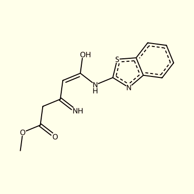 COC(=O)CC(=N)/C=C(/O)Nc1nc2ccccc2s1